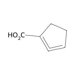 O=C(O)C1=C=CCC1